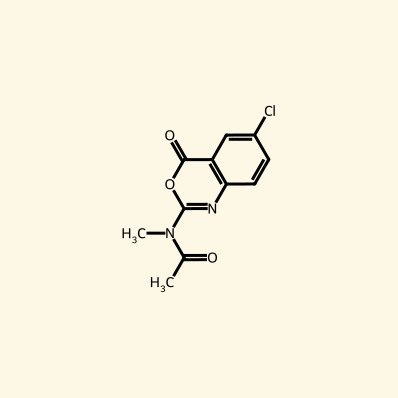 CC(=O)N(C)c1nc2ccc(Cl)cc2c(=O)o1